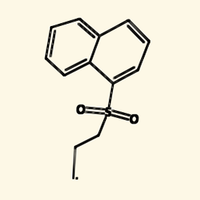 [CH2]CCS(=O)(=O)c1cccc2ccccc12